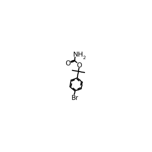 CC(C)(OC(N)=O)c1ccc(Br)cc1